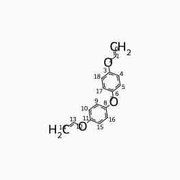 C=COc1ccc(Oc2ccc(OC=C)cc2)cc1